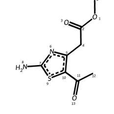 COC(=O)Cc1nc(N)sc1C(C)=O